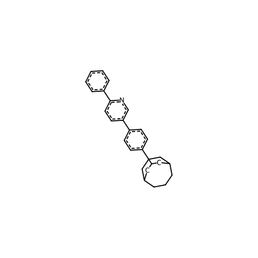 c1ccc(-c2ccc(-c3ccc(C4CC5CCCC(CCC5)C4)cc3)cn2)cc1